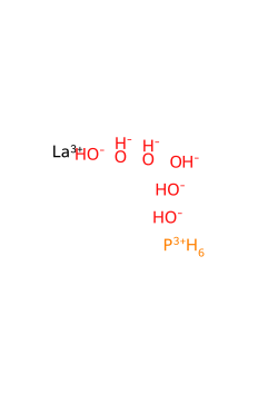 [La+3].[OH-].[OH-].[OH-].[OH-].[OH-].[OH-].[PH6+3]